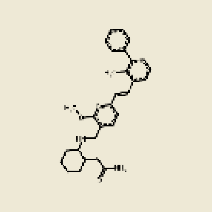 COc1nc(/C=C/c2cccc(-c3ccccc3)c2C)ccc1CNC1CCCCC1CC(N)=O